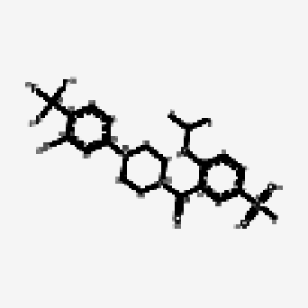 CC(C)Oc1ccc(S(C)(=O)=O)cc1C(=O)N1CCN(c2ccc(C(F)(F)F)c(F)c2)CC1